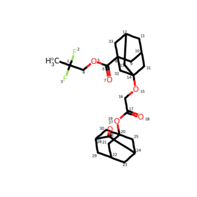 CC(F)(F)COC(=O)C12CC3CC(CC(OCC(=O)OC45CC6CC(C4)C(=O)C(C6)C5)(C3)C1)C2